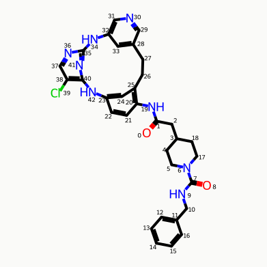 O=C(CC1CCN(C(=O)NCc2ccccc2)CC1)Nc1ccc2cc1CCc1cncc(c1)Nc1ncc(Cl)c(n1)N2